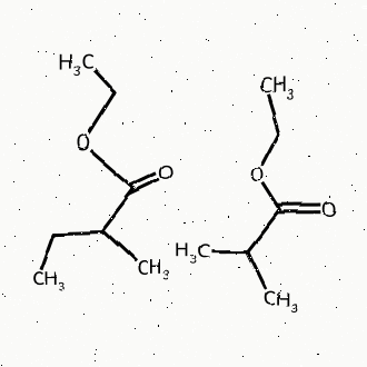 CCOC(=O)C(C)C.CCOC(=O)C(C)CC